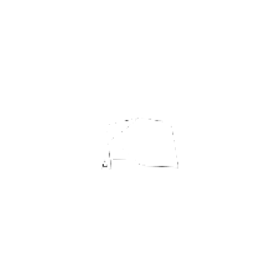 C1CC2[CH2][Al]=[C]1C2